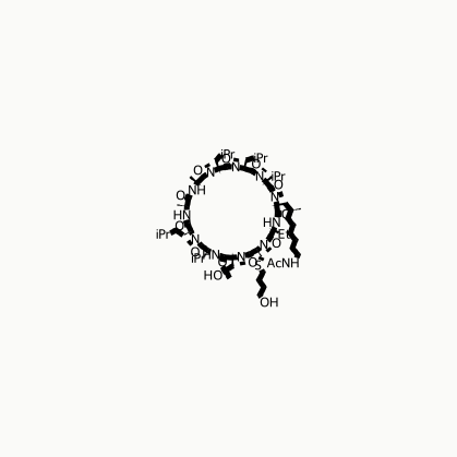 CC[C@@H]1NC(=O)[C@H](C[C@H](C)CCCCCCNC(C)=O)N(C)C(=O)[C@H](C(C)C)N(C)C(=O)[C@H](CC(C)C)N(C)C(=O)[C@H](CC(C)C)N(C)C(=O)[C@H](C)NC(=O)[C@@H](C)NC(=O)[C@@H](CCC(C)C)N(C)C(=O)[C@@H](C(C)C)NC(=O)[C@H](CC(C)(C)O)N(C)C(=O)[C@@H](CSCCCCO)N(C)C1=O